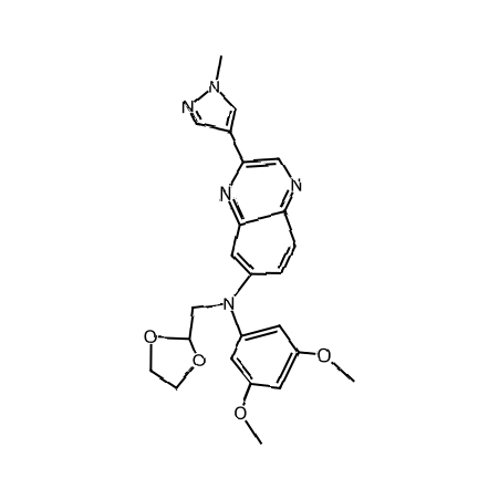 COc1cc(OC)cc(N(CC2OCCO2)c2ccc3ncc(-c4cnn(C)c4)nc3c2)c1